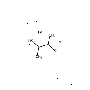 CC(S)C(C)S.[Fe].[Fe]